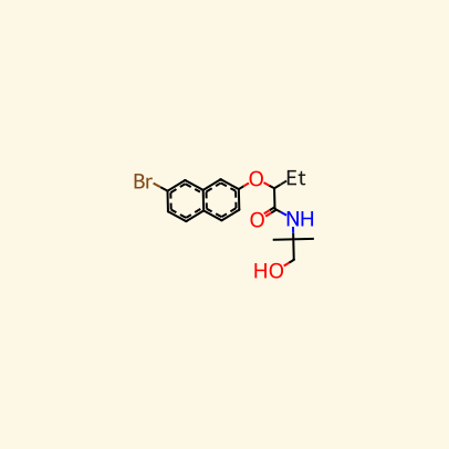 CCC(Oc1ccc2ccc(Br)cc2c1)C(=O)NC(C)(C)CO